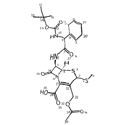 CSC1S[C@@H]2[C@H](NC(=O)C(NC(=O)OC(C)(C)C)C3=CCC=CC3)C(=O)N2C(C(=O)O)=C1COC(C)=O